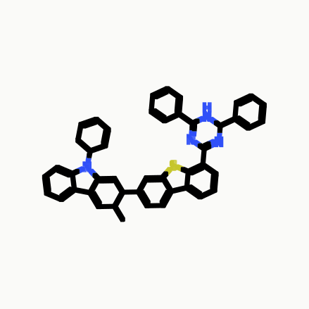 CC1C=c2c(n(C3C=CC=CC3)c3ccccc23)=CC1c1ccc2c(c1)sc1c(C3=NC(c4ccccc4)NC(c4ccccc4)=N3)cccc12